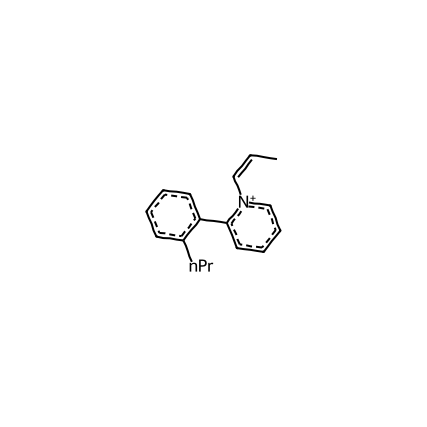 C/C=C\[n+]1ccccc1-c1ccccc1CCC